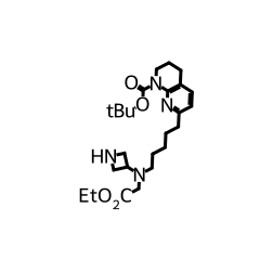 CCOC(=O)CN(CCCCCc1ccc2c(n1)N(C(=O)OC(C)(C)C)CCC2)C1CNC1